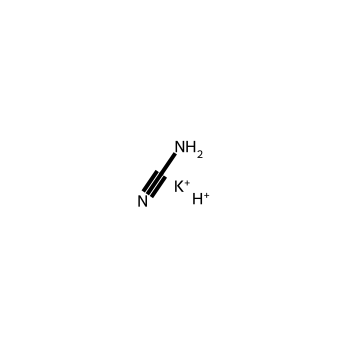 N#CN.[H+].[K+]